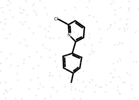 Cc1ccc(-c2cccc(Cl)n2)cc1